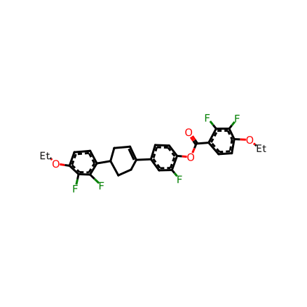 CCOc1ccc(C(=O)Oc2ccc(C3=CCC(c4ccc(OCC)c(F)c4F)CC3)cc2F)c(F)c1F